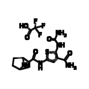 NC(=O)Nc1sc(NC(=O)C2CC3CCC2N3)cc1C(N)=O.O=C(O)C(F)(F)F